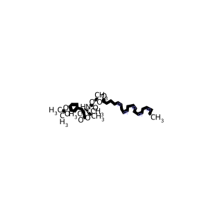 CC/C=C\C/C=C\C/C=C\C/C=C\C/C=C\CCCC(=O)OC(C)OC(=O)NN1C(C)(C)OC(=O)[C@]1(C)Cc1ccc2c(c1)OC(C)(C)O2